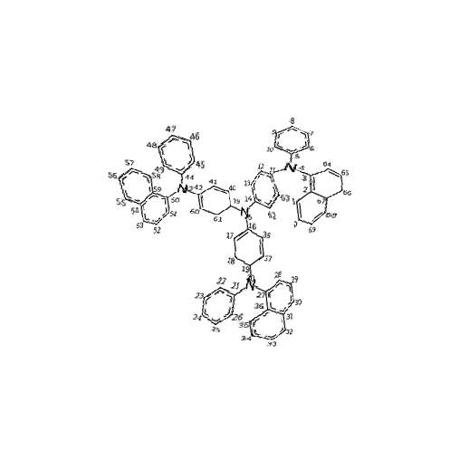 C1=CC2=C(N(c3ccccc3)c3ccc(N(C4=CCC(N(c5ccccc5)c5cccc6ccccc56)C=C4)C4C=CC(N(c5ccccc5)c5cccc6ccccc56)=CC4)cc3)C=CCC2C=C1